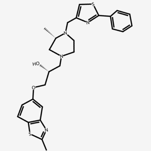 Cc1nc2cc(OC[C@H](O)CN3CCN(Cc4csc(-c5ccccc5)n4)[C@@H](C)C3)ccc2s1